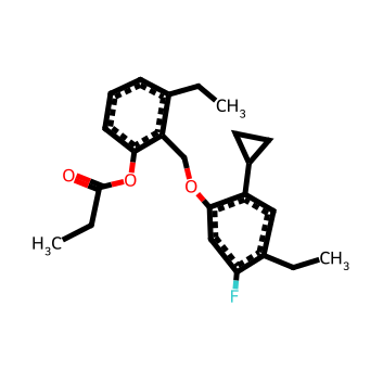 CCC(=O)Oc1cccc(CC)c1COc1cc(F)c(CC)cc1C1CC1